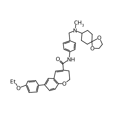 CCOc1ccc(-c2ccc3c(c2)C=C(C(=O)Nc2ccc(CN(C)C4CCC5(CC4)OCCO5)cc2)CCO3)cc1